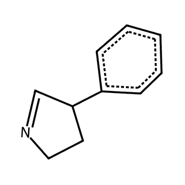 C1=NCCC1c1ccccc1